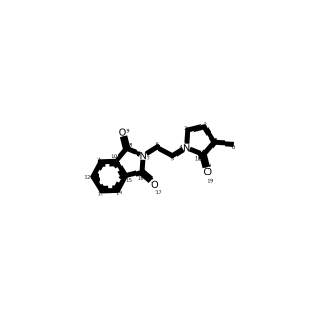 CC1CCN(CCN2C(=O)c3ccccc3C2=O)C1=O